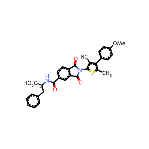 COc1ccc(-c2c(C)sc(N3C(=O)c4ccc(C(=O)N[C@@H](Cc5ccccc5)C(=O)O)cc4C3=O)c2C#N)cc1